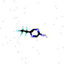 Nc1cnc(C(F)(F)C(F)(F)F)cn1